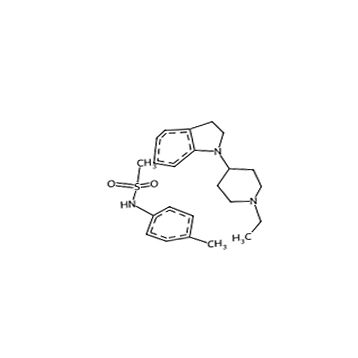 CCN1CCC(N2CCc3ccccc32)CC1.Cc1ccc(NS(C)(=O)=O)cc1